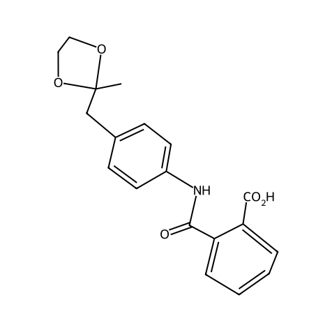 CC1(Cc2ccc(NC(=O)c3ccccc3C(=O)O)cc2)OCCO1